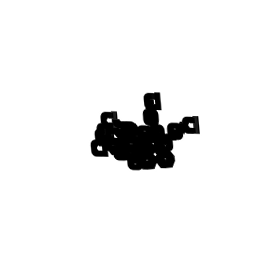 ClCCOCCOc1ccc2c3ccccc3c3c(OCCOCCCl)c(OCCOCCCl)c(OCCOCCCl)c(OCCOCCCl)c3c2c1OCCOCCCl